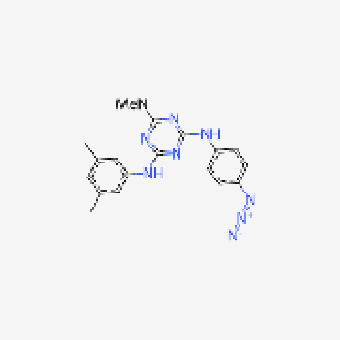 CNc1nc(Nc2ccc(N=[N+]=[N-])cc2)nc(Nc2cc(C)cc(C)c2)n1